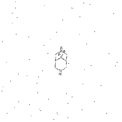 FC1(F)C2CNCC1CNC2